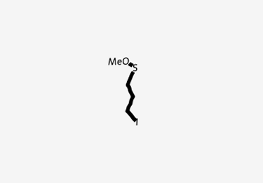 COSCCCI